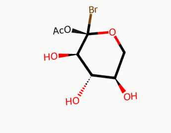 CC(=O)O[C@@]1(Br)OC[C@@H](O)[C@H](O)[C@H]1O